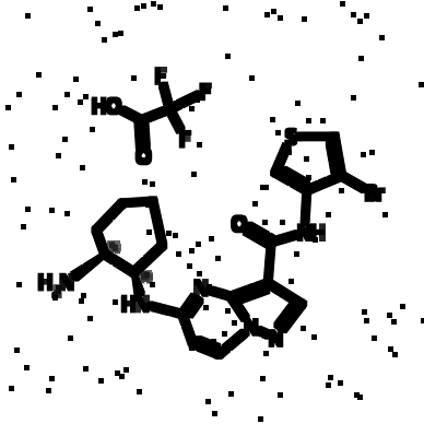 N[C@H]1CCCC[C@H]1Nc1ccn2ncc(C(=O)Nc3cscc3Br)c2n1.O=C(O)C(F)(F)F